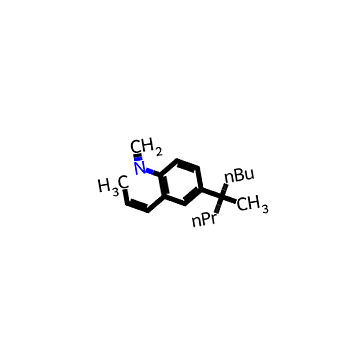 C=Nc1ccc(C(C)(CCC)CCCC)cc1/C=C\C